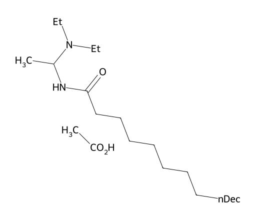 CC(=O)O.CCCCCCCCCCCCCCCCCC(=O)NC(C)N(CC)CC